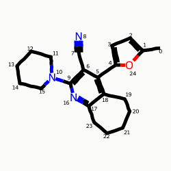 Cc1ccc(-c2c(C#N)c(N3CCCCC3)nc3c2CCCCC3)o1